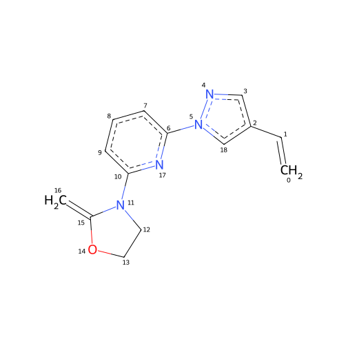 C=Cc1cnn(-c2cccc(N3CCOC3=C)n2)c1